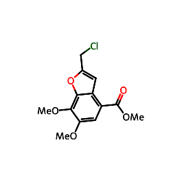 COC(=O)c1cc(OC)c(OC)c2oc(CCl)cc12